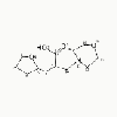 O=C(O)C(CC1CCCO1)CN1CCOCC1